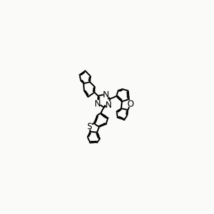 c1ccc2cc(-c3nc(-c4ccc5c(c4)sc4ccccc45)nc(-c4cccc5oc6ccccc6c45)n3)ccc2c1